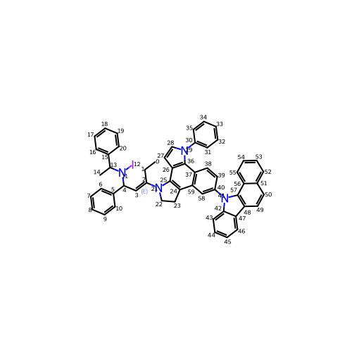 CC/C(=C\C(c1ccccc1)N(I)C(C)c1ccccc1)N1CCc2c1c1ccn(-c3ccccc3)c1c1ccc(-n3c4ccccc4c4ccc5ccccc5c43)cc21